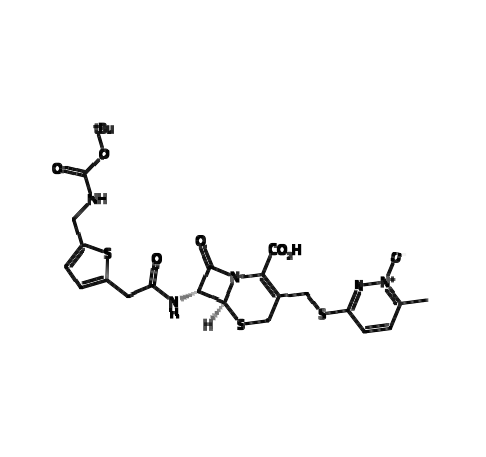 Cc1ccc(SCC2=C(C(=O)O)N3C(=O)[C@@H](NC(=O)Cc4ccc(CNC(=O)OC(C)(C)C)s4)[C@@H]3SC2)n[n+]1[O-]